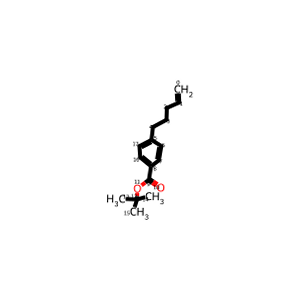 C=CCCCc1ccc(C(=O)OC(C)(C)C)cc1